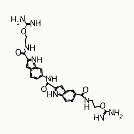 N=C(N)OCCNC(=O)c1ccc2[nH]c(C(=O)Nc3ccc4cc(C(=O)NCCOC(=N)N)[nH]c4c3)cc2c1